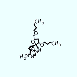 CCCCOC[C@@H]1C[C@@H](OCCCC)C(C#N)(c2ccc3c(N)ncnn23)O1